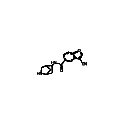 N#Cc1coc2ccc(C(=O)NC3CC4CC3CN4)cc12